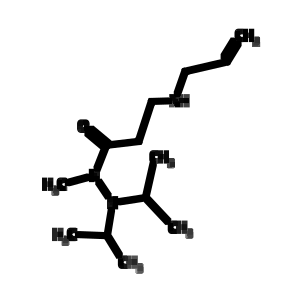 C=CCNCCC(=O)N(C)N(C(C)C)C(C)C